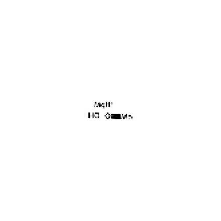 [MgH+].[OH-].[O]=[Mo]